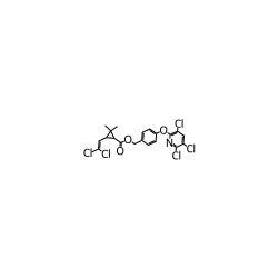 CC1(C)C(C=C(Cl)Cl)C1C(=O)OCc1ccc(Oc2nc(Cl)c(Cl)cc2Cl)cc1